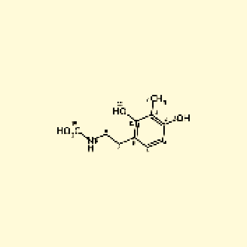 Cc1c(O)ccc(CCNC(=O)O)c1O